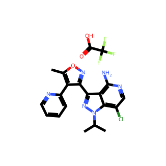 Cc1onc(-c2nn(C(C)C)c3c(Cl)cnc(N)c23)c1-c1ccccn1.O=C(O)C(F)(F)F